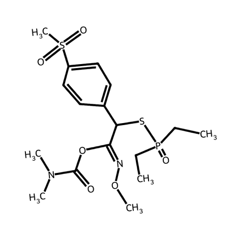 CCP(=O)(CC)SC(C(=NOC)OC(=O)N(C)C)c1ccc(S(C)(=O)=O)cc1